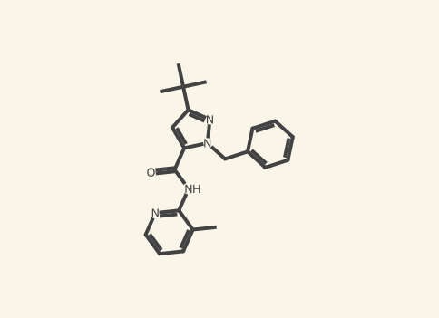 Cc1cccnc1NC(=O)c1cc(C(C)(C)C)nn1Cc1ccccc1